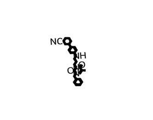 Cc1cn(Cc2ccccc2)c(=O)n(CCCNc2ccc(C3CCCC(C#N)C3)cc2)c1=O